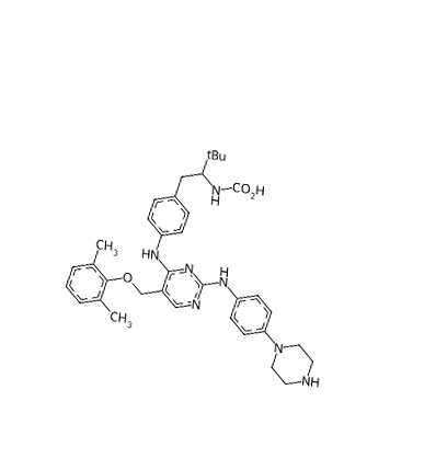 Cc1cccc(C)c1OCc1cnc(Nc2ccc(N3CCNCC3)cc2)nc1Nc1ccc(CC(NC(=O)O)C(C)(C)C)cc1